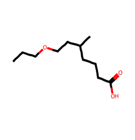 CCCOCCC(C)CCCC(=O)O